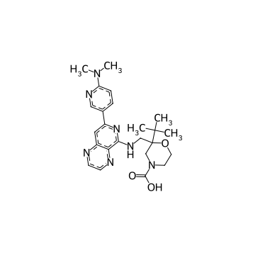 CN(C)c1ccc(-c2cc3nccnc3c(NCC3(C(C)(C)C)CN(C(=O)O)CCO3)n2)cn1